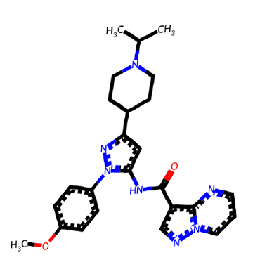 COc1ccc(-n2nc(C3CCN(C(C)C)CC3)cc2NC(=O)c2cnn3cccnc23)cc1